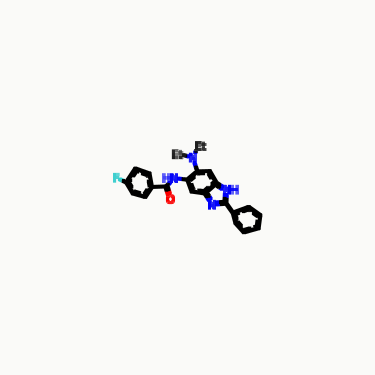 CCN(CC)c1cc2[nH]c(-c3ccccc3)nc2cc1NC(=O)c1ccc(F)cc1